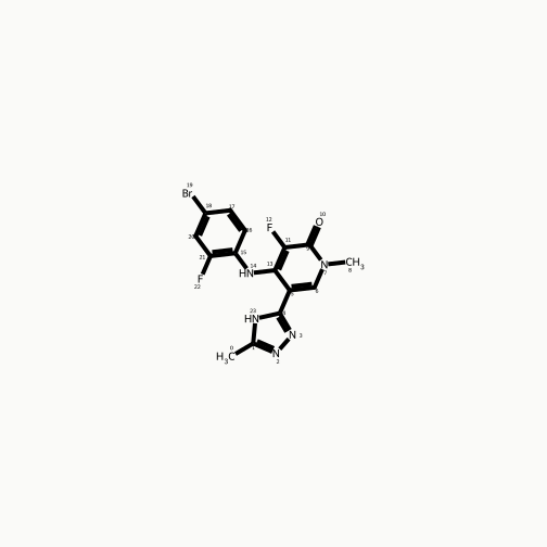 Cc1nnc(-c2cn(C)c(=O)c(F)c2Nc2ccc(Br)cc2F)[nH]1